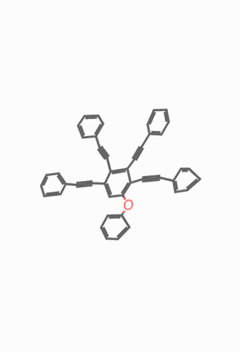 C(#Cc1cc(Oc2ccccc2)c(C#Cc2ccccc2)c(C#Cc2ccccc2)c1C#Cc1ccccc1)c1ccccc1